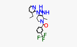 CCc1cccnc1N1NNC2=C1CCN(C(=O)c1cccc(C(F)(F)F)c1)C2C